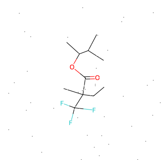 CCC(C)(C(=O)OC(C)C(C)C)C(F)(F)F